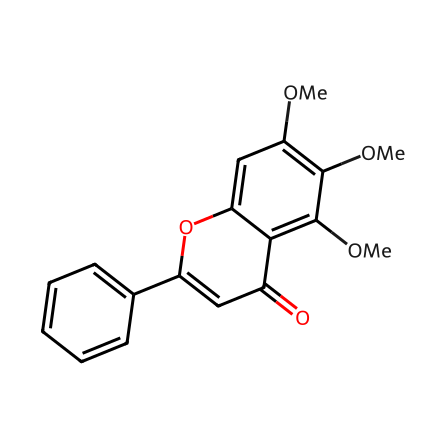 COc1cc2oc(-c3ccccc3)cc(=O)c2c(OC)c1OC